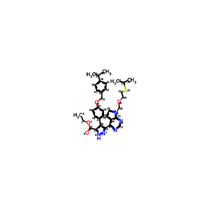 CCOC(=O)c1[nH]nc(-c2ncnc3c2ccn3COCCSC(C)C)c1-c1ccc(OCc2ccc(C(C)C)cc2)cc1